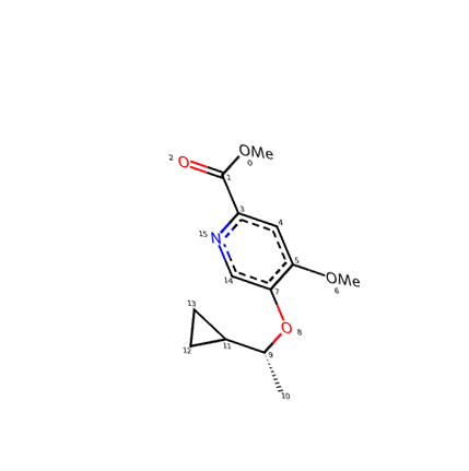 COC(=O)c1cc(OC)c(O[C@H](C)C2CC2)cn1